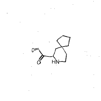 O=CC(=O)C1CC2(CCCC2)CCN1